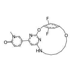 Cn1cc(-c2cc3nc(n2)Oc2c(F)cc(cc2F)COCCCCCCN3)ccc1=O